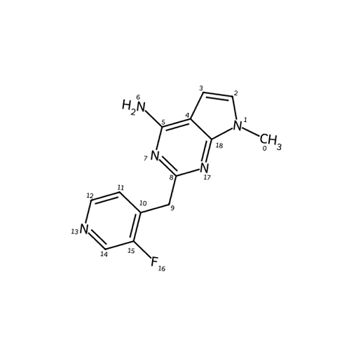 Cn1ccc2c(N)nc(Cc3ccncc3F)nc21